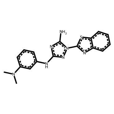 CN(C)c1cccc(Nc2nc(N)n(-c3nc4ccccc4s3)n2)c1